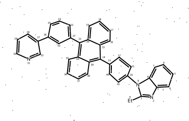 CCc1nc2ccccc2n1-c1ccc(-c2c3ccccc3c(-c3cccc(-c4cccnc4)c3)c3ccccc23)cc1